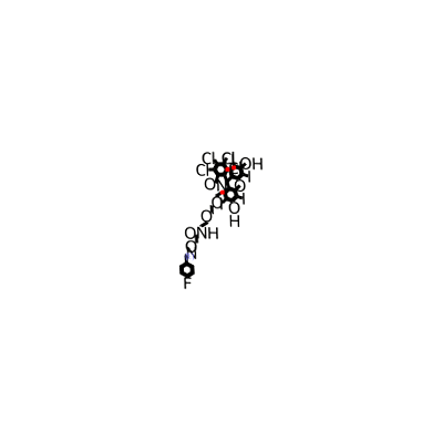 O=C(CO/N=C/c1ccc(F)cc1)NCCOCCOCCN1C(=O)c2c(Cl)c(Cl)c(Cl)c(Cl)c2C12c1cc(I)c(O)c(I)c1Oc1c2cc(I)c(O)c1I